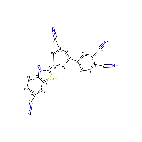 N#Cc1cc(-c2ccc(C#N)c(C#N)c2)cc(-c2nc3ccc(C#N)cc3s2)c1